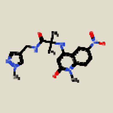 Cn1cc(CNC(=O)C(C)(C)Nc2cc(=O)n(C)c3ccc([N+](=O)[O-])cc23)cn1